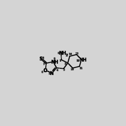 NCC1(Cc2noc(=S)[nH]2)CCNCC1